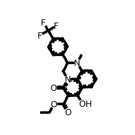 CCOC(=O)c1c(O)c2cccc3c2n(c1=O)CC(c1ccc(C(F)(F)F)cc1)N3C